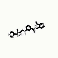 CCc1cnccc1CNC(=O)c1cccc(NCc2nnc(-c3ccncn3)n2C)c1